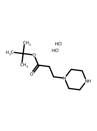 CC(C)(C)OC(=O)CCN1CCNCC1.Cl.Cl